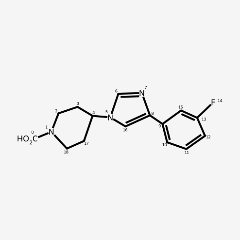 O=C(O)N1CCC(n2cnc(-c3cccc(F)c3)c2)CC1